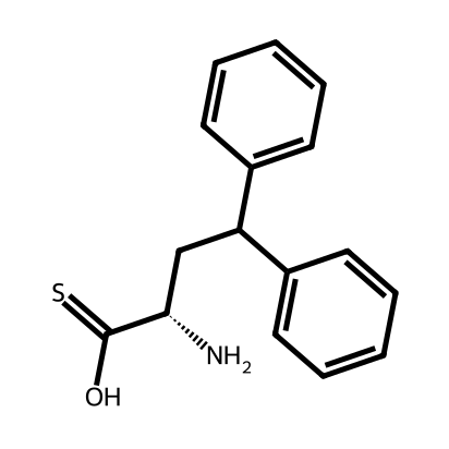 N[C@@H](CC(c1ccccc1)c1ccccc1)C(O)=S